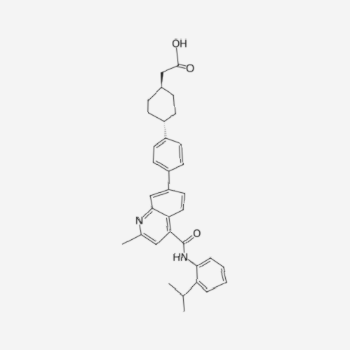 Cc1cc(C(=O)Nc2ccccc2C(C)C)c2ccc(-c3ccc([C@H]4CC[C@H](CC(=O)O)CC4)cc3)cc2n1